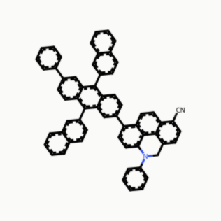 N#Cc1ccc2c3c1ccc1c(-c4ccc5c(-c6ccc7ccccc7c6)c6cc(-c7ccccc7)ccc6c(-c6ccc7ccccc7c6)c5c4)ccc(c13)N(c1ccccc1)C2